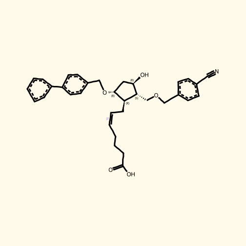 N#Cc1ccc(COC[C@@H]2[C@@H](C/C=C\CCCC(=O)O)[C@H](OCc3ccc(-c4ccccc4)cc3)C[C@H]2O)cc1